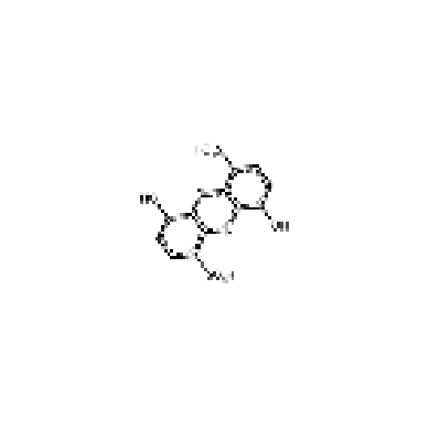 O=S(=O)(O)c1ccc(O)c2nc3c(S(=O)(=O)O)ccc(O)c3nc12